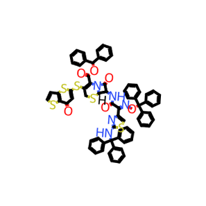 O=C(NC1C(=O)N2C(C(=O)OC(c3ccccc3)c3ccccc3)=C(Sc3cc(=O)c4sccc4s3)CS[C@@H]12)C(=NOC(c1ccccc1)(c1ccccc1)c1ccccc1)c1csc(NC(c2ccccc2)(c2ccccc2)c2ccccc2)n1